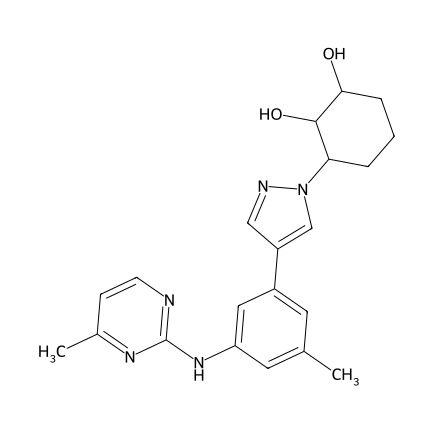 Cc1cc(Nc2nccc(C)n2)cc(-c2cnn(C3CCCC(O)C3O)c2)c1